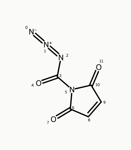 [N-]=[N+]=NC(=O)N1C(=O)C=CC1=O